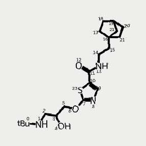 CC(C)(C)NCC(O)COc1ncc(C(=O)NCCC23CCC(CC2)C3)s1